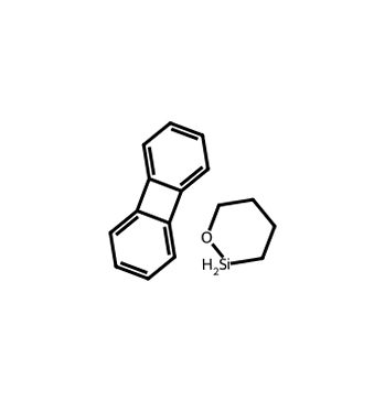 C1CC[SiH2]OC1.c1ccc2c(c1)-c1ccccc1-2